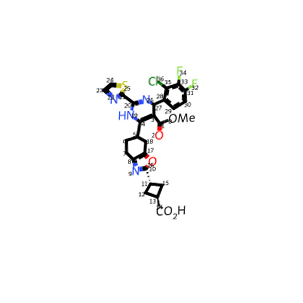 COC(=O)C1=C(C2CCc3nc([C@H]4C[C@H](C(=O)O)C4)oc3C2)NC(c2nccs2)=NC1c1ccc(F)c(F)c1Cl